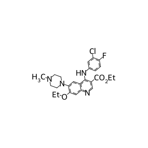 CCOC(=O)c1cnc2cc(OCC)c(N3CCN(C)CC3)cc2c1Nc1ccc(F)c(Cl)c1